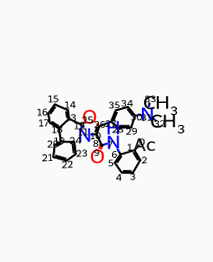 CC(=O)c1ccccc1NC(=O)c1nc(-c2ccccc2-c2ccccc2)oc1-c1ccc(N(C)C)cc1